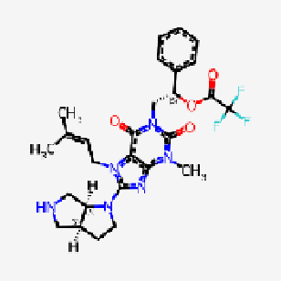 CC(C)=CCn1c(N2CC[C@H]3CNC[C@H]32)nc2c1c(=O)n(C[C@@H](OC(=O)C(F)(F)F)c1ccccc1)c(=O)n2C